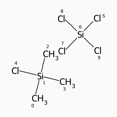 C[Si](C)(C)Cl.Cl[Si](Cl)(Cl)Cl